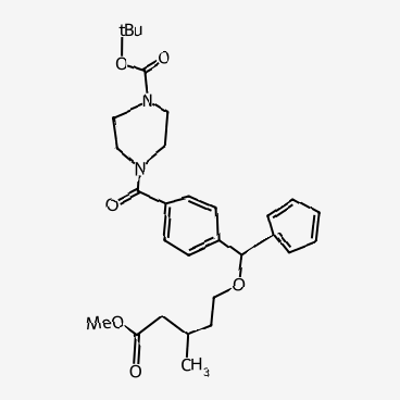 COC(=O)CC(C)CCOC(c1ccccc1)c1ccc(C(=O)N2CCN(C(=O)OC(C)(C)C)CC2)cc1